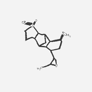 CC1CC(C2OC2C)C2C3CC(C12)C1C3CCS1(=O)=O